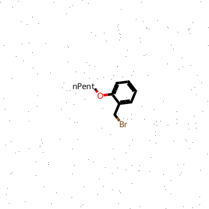 CCCCCOc1ccccc1CBr